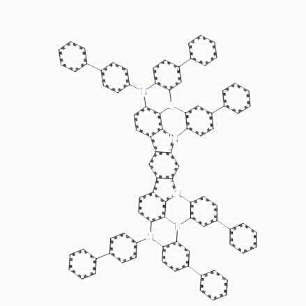 c1ccc(-c2ccc(N3c4ccc(-c5ccccc5)cc4B4c5cc(-c6ccccc6)ccc5-n5c6cc7c(cc6c6ccc3c4c65)c3ccc4c5c3n7-c3ccc(-c6ccccc6)cc3B5c3cc(-c5ccccc5)ccc3N4c3ccc(-c4ccccc4)cc3)cc2)cc1